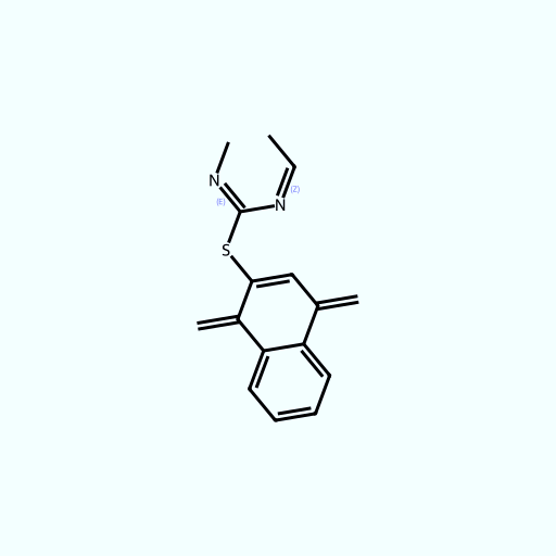 C=c1cc(SC(/N=C\C)=N/C)c(=C)c2ccccc12